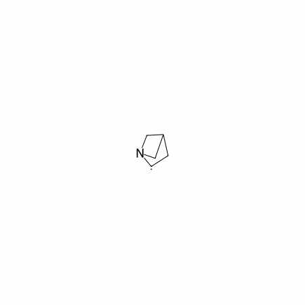 [CH]1CC2CN1C2